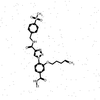 C=CCCCOc1cc(C(=O)NCC)ccc1-n1cc(C(=O)NCc2ccc(S(C)(=O)=O)cc2)nn1